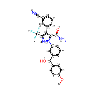 COc1ccc(C(O)c2cccc(-n3nc(C(F)(F)F)c(-c4cccc(C#N)c4)c3C(N)=O)c2)cc1